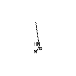 CCCCCCCCCCCCCCCCCCNCCC1CCCCN1CCCN(C)C